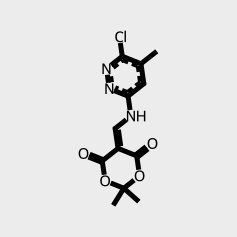 Cc1cc(NC=C2C(=O)OC(C)(C)OC2=O)nnc1Cl